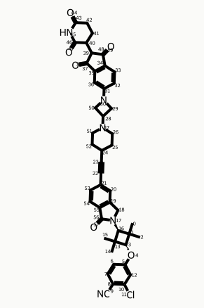 CC1(C)[C@H](Oc2ccc(C#N)c(Cl)c2)C(C)(C)[C@H]1N1Cc2cc(C#CC3CCN(C4CN(c5ccc6c(c5)C(=O)C(C5CCC(=O)NC5=O)C6=O)C4)CC3)ccc2C1=O